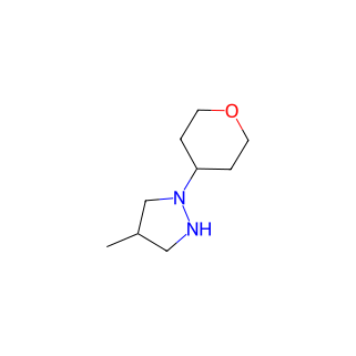 CC1CNN(C2CCOCC2)C1